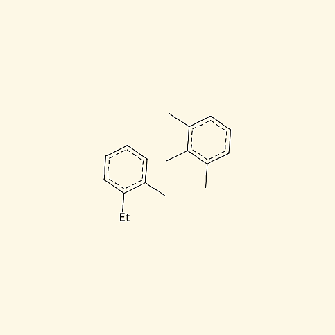 CCc1ccccc1C.Cc1cccc(C)c1C